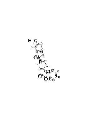 Cc1ccc(CC(=O)N2CCC(n3c(=O)oc4ccccc43)CC2)cc1